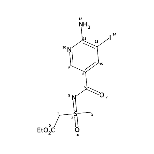 CCOC(=O)CS(C)(=O)=NC(=O)c1cnc(N)c(I)c1